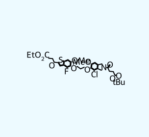 CCOC(=O)CCC(=O)c1cc2c(F)c(OCCCOc3c(OC)cc4c(c3Cl)CN(C(=O)CCC(=O)OC(C)(C)C)C4)c(OC)cc2s1